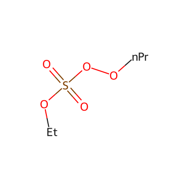 CCCOOS(=O)(=O)OCC